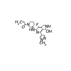 C=CC(=O)N1CCC[C@H](Nc2nc(-c3cnn(C)c3)c3c(c2F)CNC3O)C1